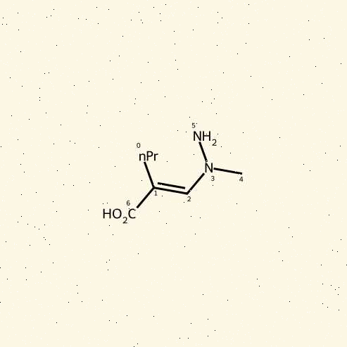 CCC/C(=C\N(C)N)C(=O)O